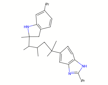 CC(C)c1ccc2c(c1)NC(C)(C(C)C(C)CC(C)(C)c1ccc3[nH]c(C(C)C)nc3c1)C2